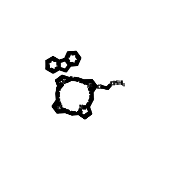 C1=Cc2cc3ccc(cc4nc(cc5ccc(cc1n2)[nH]5)C=C4)[nH]3.ClCCl.[SiH4].c1ccc2c(c1)Cc1ccccc1-2